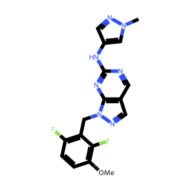 COc1ccc(F)c(Cn2ncc3cnc(Nc4cnn(C)c4)nc32)c1F